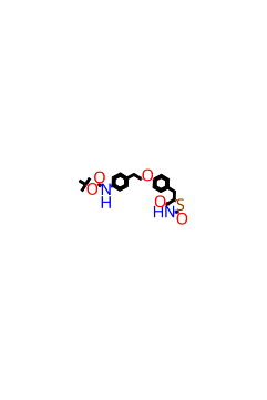 CC(C)(C)OC(=O)Nc1ccc(CCOc2ccc(CC3SC(=O)NC3=O)cc2)cc1